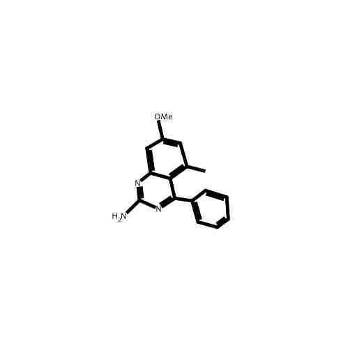 COc1cc(C)c2c(-c3ccccc3)nc(N)nc2c1